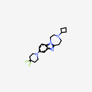 FC1(F)CCN(c2ccc3c(c2)nc2n3CCN(C3CCC3)CC2)CC1